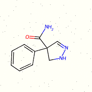 NC(=O)C1(c2ccccc2)C=NNC1